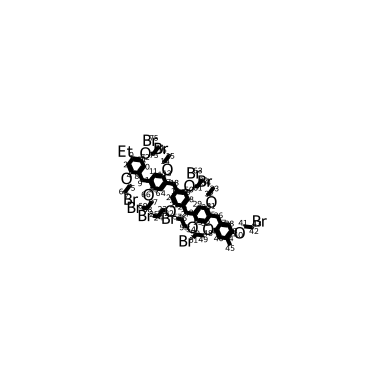 CCc1cc(OCCBr)c(Cc2cc(OCCBr)c(Cc3cc(OCCBr)c(Cc4cc(OCCBr)c(Cc5cc(OCCBr)c(C)cc5OCCBr)cc4OCCBr)cc3OCCBr)cc2OCCBr)cc1OCCBr